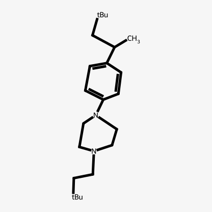 CC(CC(C)(C)C)c1ccc(N2CCN(CCC(C)(C)C)CC2)cc1